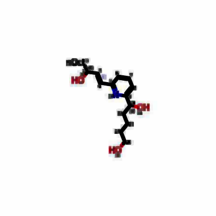 CCCCCCCC[C@H](O)/C=C/c1cccc([C@@H](O)CCCCO)n1